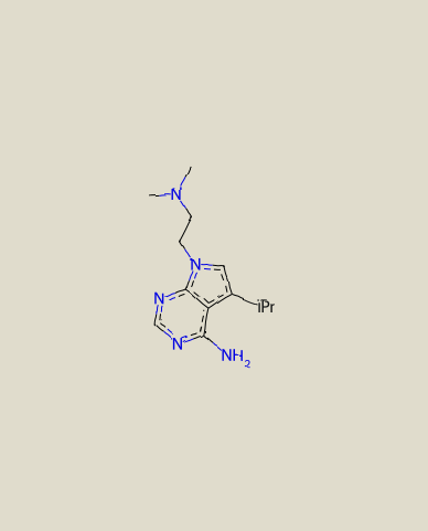 CC(C)c1cn(CCN(C)C)c2ncnc(N)c12